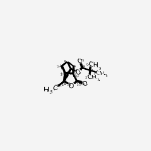 CC(C)(C)C(=O)OC1C2CC3C(=O)OC1(C)C3C2